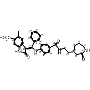 Cc1cc2c(cc1C(=O)O)NC(=O)/C2=C(\Nc1ccc(C(=O)NCCN2CCCNC(=O)C2)cc1)c1ccccc1